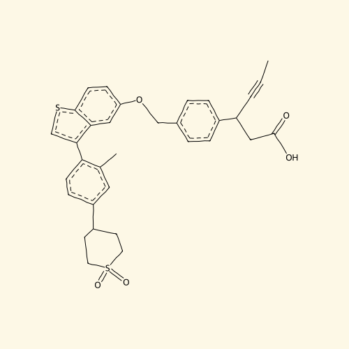 CC#CC(CC(=O)O)c1ccc(COc2ccc3scc(-c4ccc(C5CCS(=O)(=O)CC5)cc4C)c3c2)cc1